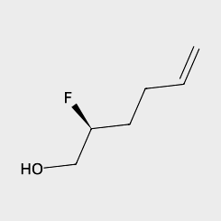 C=CCC[C@H](F)CO